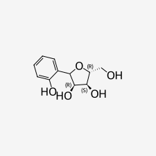 OC[C@H]1OC(c2ccccc2O)[C@H](O)[C@@H]1O